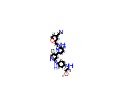 COC[C@@H](C)NC1CCC(Nc2cc(-c3ccc(F)c(NCC4CC(C#N)CCO4)n3)c(Cl)cn2)CC1